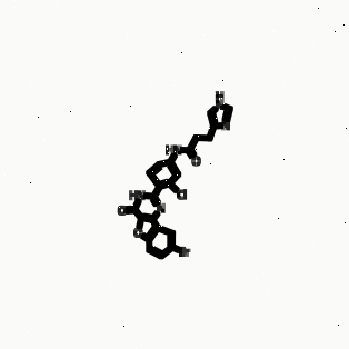 O=C(CCc1c[nH]cn1)Nc1ccc(-c2nc3c(oc4ccc(Br)cc43)c(=O)[nH]2)c(Cl)c1